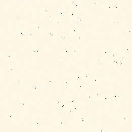 O=C1C=CC(=O)N1c1ccc(C2=CCCCC2)cc1